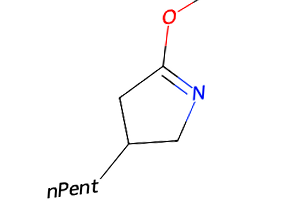 CCCCCC1CN=C(OCC)C1